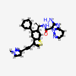 C[C@@H](NC(=O)c1c(N)nc2cccnn12)c1cc2scc(C#Cc3ccn(C)n3)c2cc1-c1ccccc1